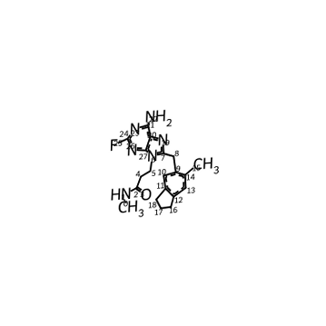 CNC(=O)CCn1c(Cc2cc3c(cc2C)CCC3)nc2c(N)nc(F)nc21